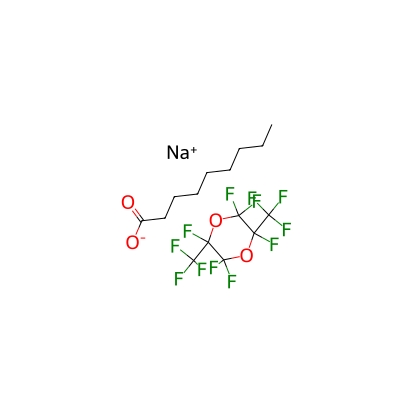 CCCCCCCCC(=O)[O-].FC(F)(F)C1(F)OC(F)(F)C(F)(C(F)(F)F)OC1(F)F.[Na+]